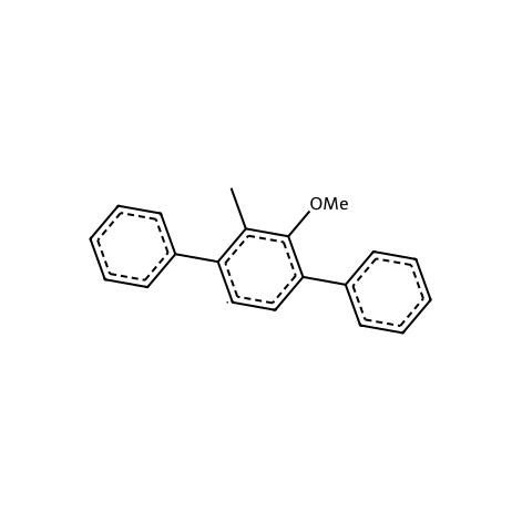 COc1c(-c2ccccc2)c[c]c(-c2ccccc2)c1C